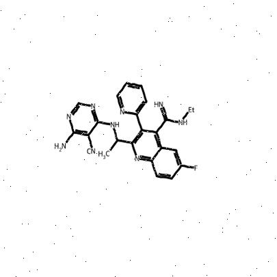 CCNC(=N)c1c(-c2ccccn2)c(C(C)Nc2ncnc(N)c2C#N)nc2ccc(F)cc12